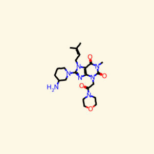 CC(C)=CCn1c(N2CCCC(N)C2)nc2c1c(=O)n(C)c(=O)n2CC(=O)N1CCOCC1